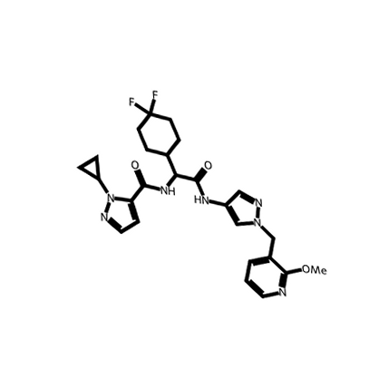 COc1ncccc1Cn1cc(NC(=O)C(NC(=O)c2ccnn2C2CC2)C2CCC(F)(F)CC2)cn1